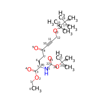 CCOC(=O)[C@@H](CCC(=O)C#CCO[Si](C)(C)C(C)(C)C)NC(=O)OC(C)(C)C